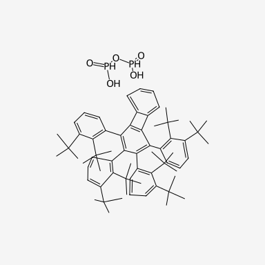 CC(C)(C)c1cccc(-c2c3c(c(-c4cccc(C(C)(C)C)c4C(C)(C)C)c(-c4cccc(C(C)(C)C)c4C(C)(C)C)c2-c2cccc(C(C)(C)C)c2C(C)(C)C)-c2ccccc2-3)c1C(C)(C)C.O=[PH](O)O[PH](=O)O